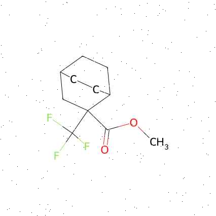 COC(=O)C1(C(F)(F)F)CC2CCC1CC2